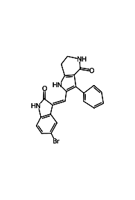 O=C1Nc2ccc(Br)cc2C1=Cc1[nH]c2c(c1-c1ccccc1)C(=O)NCC2